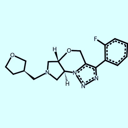 Fc1ccccc1-c1nnn2c1CO[C@H]1CN(C[C@H]3CCOC3)C[C@@H]12